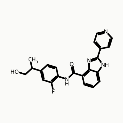 CC(CO)c1ccc(NC(=O)c2cccc3[nH]c(-c4ccncc4)nc23)c(F)c1